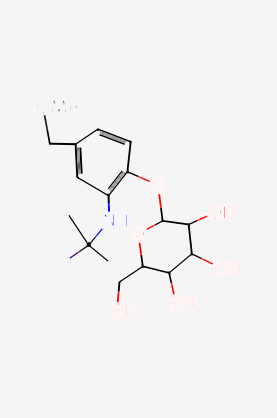 COCc1ccc(OC2OC(CO)C(O)C(O)C2O)c(NC(C)(C)I)c1